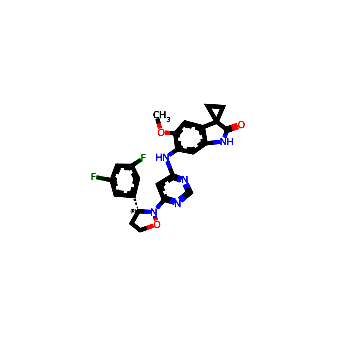 COc1cc2c(cc1Nc1cc(N3OCC[C@@H]3c3cc(F)cc(F)c3)ncn1)NC(=O)C21CC1